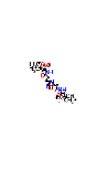 CC(C)(C)CC(=O)NCCc1nc(CCC(=O)N[C@H]2SC(C)(C)OC2=O)no1